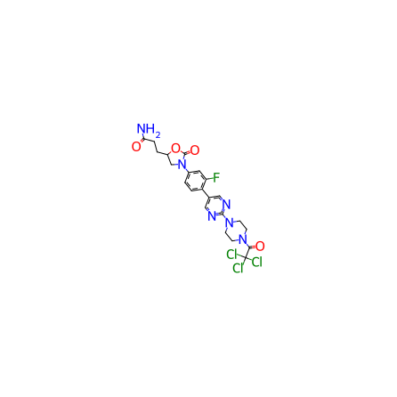 NC(=O)CCC1CN(c2ccc(-c3cnc(N4CCN(C(=O)C(Cl)(Cl)Cl)CC4)nc3)c(F)c2)C(=O)O1